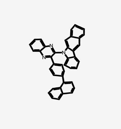 c1ccc2cc3c(cc2c1)c1ccccc1n3-c1nc2ccccc2nc1-c1ccc(-c2cccc3ccccc23)cc1